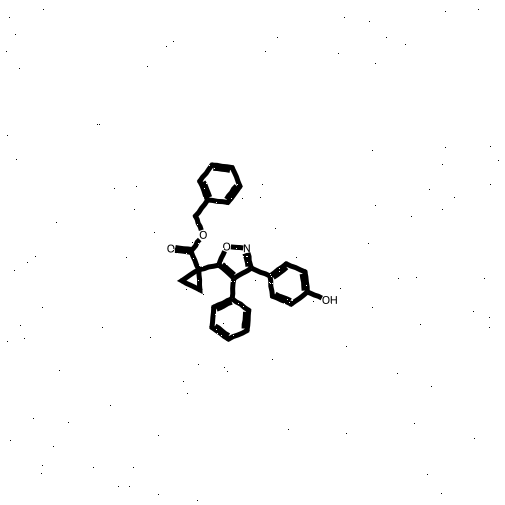 O=C(OCc1ccccc1)C1(c2onc(-c3ccc(O)cc3)c2-c2ccccc2)CC1